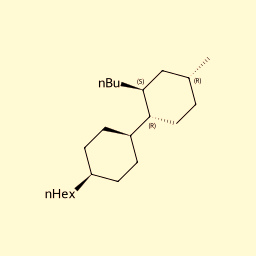 CCCCCC[C@H]1CC[C@@H]([C@H]2CC[C@@H](C)C[C@@H]2CCCC)CC1